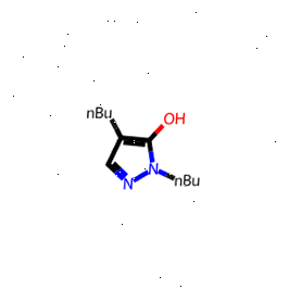 CCCCc1cnn(CCCC)c1O